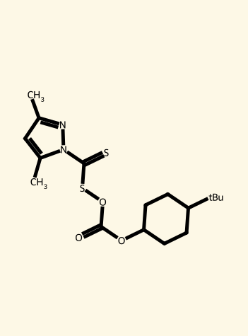 Cc1cc(C)n(C(=S)SOC(=O)OC2CCC(C(C)(C)C)CC2)n1